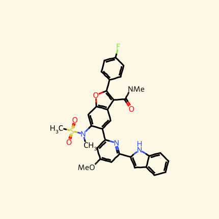 CNC(=O)c1c(-c2ccc(F)cc2)oc2cc(N(C)S(C)(=O)=O)c(-c3cc(OC)cc(-c4cc5ccccc5[nH]4)n3)cc12